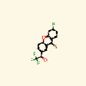 O=C(c1ccc2oc3cc(F)ccc3c(=S)c2c1)C(F)(F)F